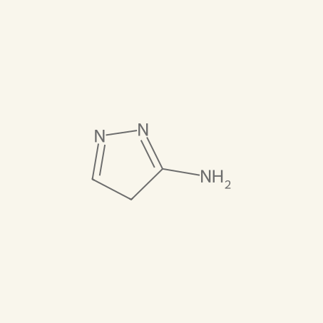 NC1=NN=CC1